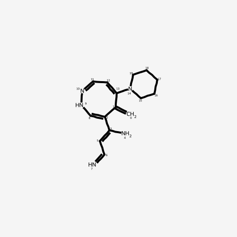 C=C1C(/C(N)=C/C=N)=C\N/N=C\C=C/1N1CCCCC1